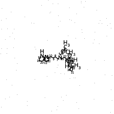 CC(C)OCCN(CCCCc1ccc2c(n1)NCCC2)CCC(NC(=O)CC1(C)CCC1)C(=O)O